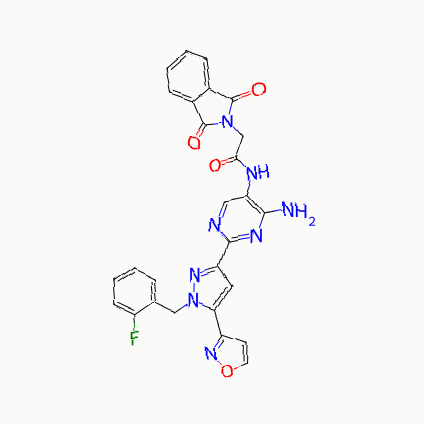 Nc1nc(-c2cc(-c3ccon3)n(Cc3ccccc3F)n2)ncc1NC(=O)CN1C(=O)c2ccccc2C1=O